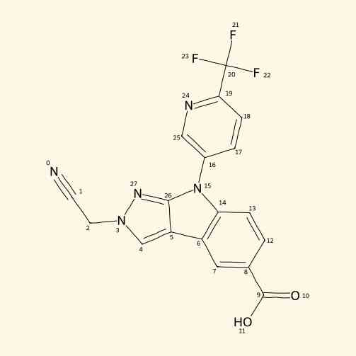 N#CCn1cc2c3cc(C(=O)O)ccc3n(-c3ccc(C(F)(F)F)nc3)c2n1